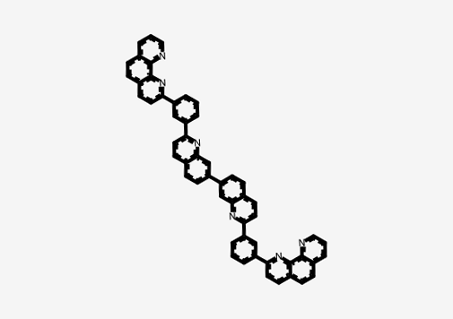 c1cc(-c2ccc3ccc(-c4ccc5ccc(-c6cccc(-c7ccc8ccc9cccnc9c8n7)c6)nc5c4)cc3n2)cc(-c2ccc3ccc4cccnc4c3n2)c1